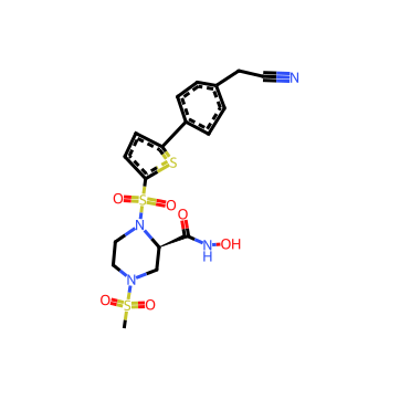 CS(=O)(=O)N1CCN(S(=O)(=O)c2ccc(-c3ccc(CC#N)cc3)s2)[C@@H](C(=O)NO)C1